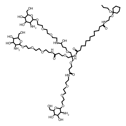 CCCOC1(OCCNC(=O)CCCCCCCCCCC(=O)NC(COCCC(=O)NCCOCCOCCOC2OC(CO)C(O)C(O)C2N)(COCCC(=O)NCCOCCOCCOC2OC(CO)C(O)C(O)C2N)COCCC(O)NCCOCCOCCOC2OC(CO)C(O)C(O)C2N)CCCCC1